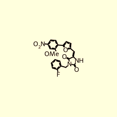 COc1cc([N+](=O)[O-])ccc1-c1ccc(C=C2NC(=O)N(Cc3ccccc3F)C2=O)o1